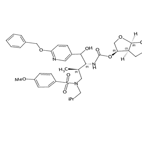 COc1ccc(S(=O)(=O)N(CC(C)C)C[C@@H](C)[C@@H](NC(=O)O[C@H]2CO[C@H]3OCC[C@H]32)C(O)c2ccc(OCc3ccccc3)nc2)cc1